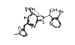 Cc1ccc(-c2nc(N)c3cc(C(O)c4ncccc4Br)sc3n2)o1